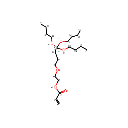 C=CC(=O)OCCOCCC[Si](OCCCC)(OCCCC)OCCCC